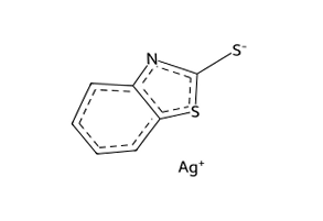 [Ag+].[S-]c1nc2ccccc2s1